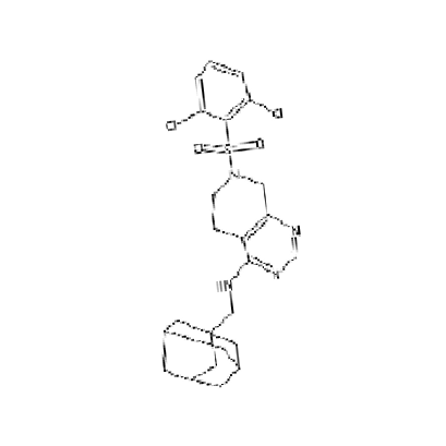 O=S(=O)(c1c(Cl)cccc1Cl)N1CCc2c(ncnc2NCC23CC4CC(CC(C4)C2)C3)C1